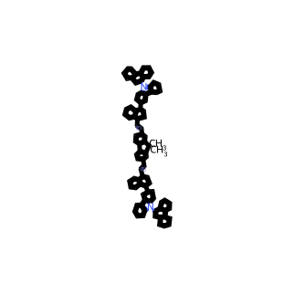 CC1(C)c2cc(/C=C/c3ccc(-c4ccc5c(c4)c4ccccc4n5-c4cc5ccccc5c5ccccc45)c4ccccc34)ccc2-c2ccc(/C=C/c3ccc(-c4ccc5c(c4)c4ccccc4n5-c4cc5ccccc5c5ccccc45)c4ccccc34)cc21